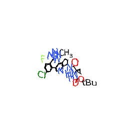 Cn1nnc(-c2c(F)cc(Cl)cc2-c2cnc3c(c2)CCC3NC(=O)C2(NC(=O)OC(C)(C)C)CC2)n1